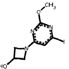 COc1nc(I)cc(N2CC(O)C2)n1